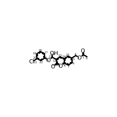 CC(=O)OCc1ccc2oc(=O)c(C(O)Oc3cccc(Cl)c3)cc2c1